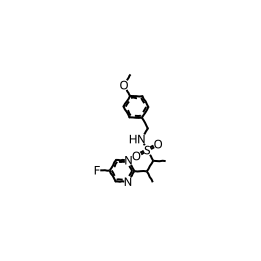 COc1ccc(CNS(=O)(=O)C(C)C(C)c2ncc(F)cn2)cc1